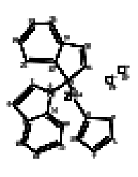 C1=CC[C]([Zr+2][C]2(n3ccc4ccccc43)C=Cc3ccccc32)=C1.[Cl-].[Cl-]